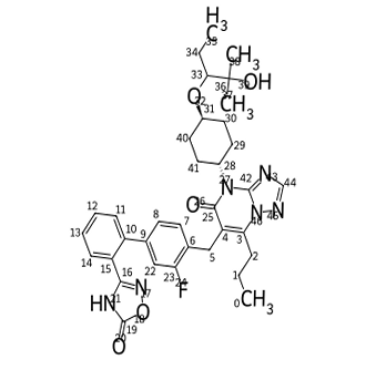 CCCc1c(Cc2ccc(-c3ccccc3-c3noc(=O)[nH]3)cc2F)c(=O)n([C@H]2CC[C@H](OC(CC)C(C)(C)O)CC2)c2ncnn12